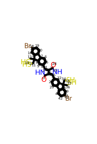 O=C1NC(c2ccc3c(c2)C(CS)(CS)c2cc(Br)ccc2-3)=C2C(=O)NC(c3ccc4c(c3)C(CS)(CS)c3cc(Br)ccc3-4)=C12